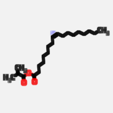 C=C(C)C(=O)OC(=O)CCCCCCC/C=C\CCCCCCCC